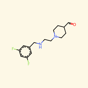 O=CC1CCN(CCNCc2cc(F)cc(F)c2)CC1